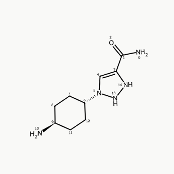 NC(=O)C1=CN([C@H]2CC[C@H](N)CC2)NN1